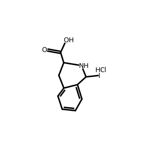 Cl.O=C(O)C1Cc2ccccc2C(I)N1